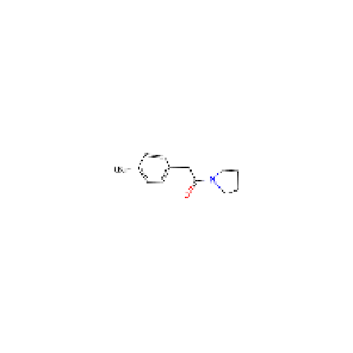 CC(C)(C)c1ccc(CC(=O)N2CCCC2)cc1